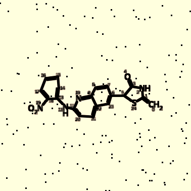 C=C1NC(=O)C(c2ccc3nc(Nc4ccccc4[N+](=O)[O-])ccc3c2)S1